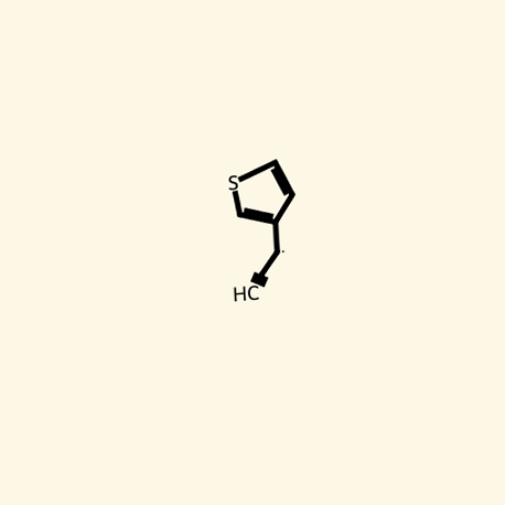 C#C[CH]c1ccsc1